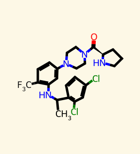 CC(Nc1cc(N2CCN(C(=O)[C@H]3CCCN3)CC2)ccc1C(F)(F)F)c1ccc(Cl)cc1Cl